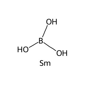 OB(O)O.[Sm]